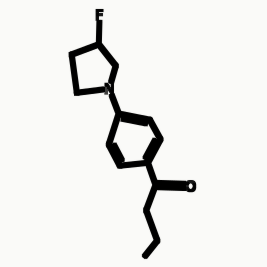 CCCC(=O)c1ccc(N2CCC(F)C2)cc1